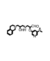 CN(C)c1cncc(OC(C=O)CNCC(O)CN2CCc3ccccc3C2)c1